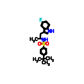 CC(Cc1c[nH]c2ccc(F)cc12)NS(=O)(=O)c1ccc(C(C)(C)C)cc1